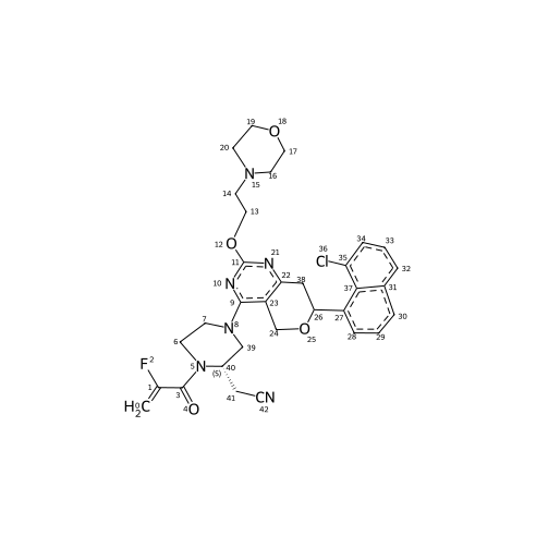 C=C(F)C(=O)N1CCN(c2nc(OCCN3CCOCC3)nc3c2COC(c2cccc4cccc(Cl)c24)C3)C[C@@H]1CC#N